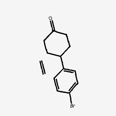 C=C.O=C1CCC(c2ccc(Br)cc2)CC1